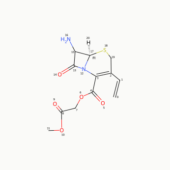 C=CC1=C(C(=O)OCC(=O)OC)N2C(=O)C(N)[C@H]2SC1